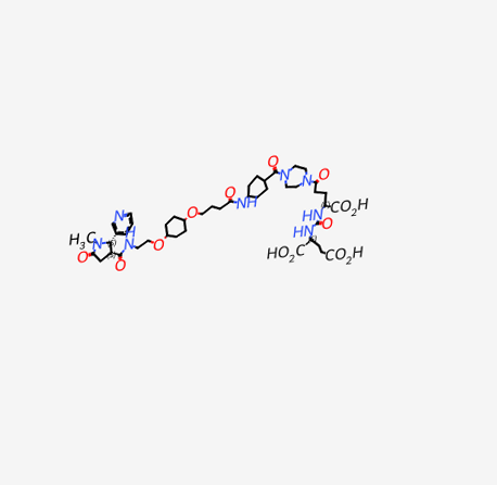 CN1C(=O)C[C@H](C(=O)NCCOC2CCC(OCCCC(=O)NC3CCC(C(=O)N4CCN(C(=O)CC[C@H](NC(=O)N[C@@H](CCC(=O)O)C(=O)O)C(=O)O)CC4)CC3)CC2)[C@H]1c1cccnc1